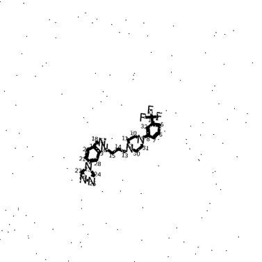 FC(F)(F)c1cccc(N2CCN(CCCn3ncc4ccc(-n5cnnc5)cc43)CC2)c1